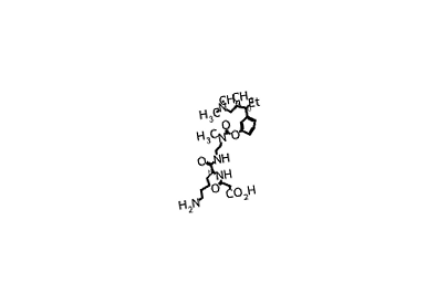 CC[C@@H](c1cccc(OC(=O)N(C)CCNC(=O)[C@H](CCCCN)NC(=O)CC(=O)O)c1)[C@@H](C)CN(C)C